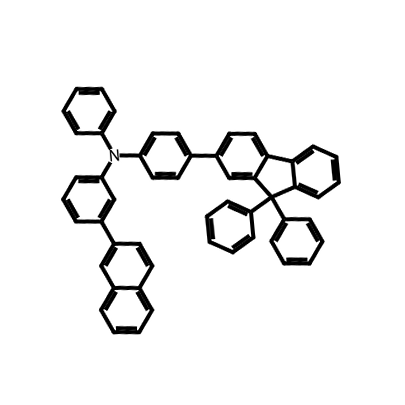 c1ccc(N(c2ccc(-c3ccc4c(c3)C(c3ccccc3)(c3ccccc3)c3ccccc3-4)cc2)c2cccc(-c3ccc4ccccc4c3)c2)cc1